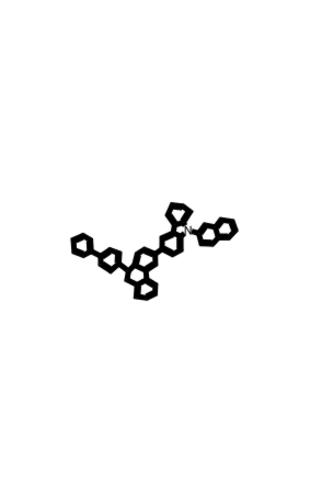 c1ccc(-c2ccc(C3Cc4ccccc4-c4cc(-c5ccc6c(c5)c5ccccc5n6-c5ccc6ccccc6c5)ccc43)cc2)cc1